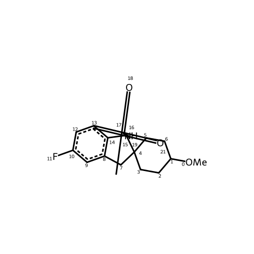 COC1CCC2(CC1)Cc1cc(F)ccc1C21NC(=O)CC1=O